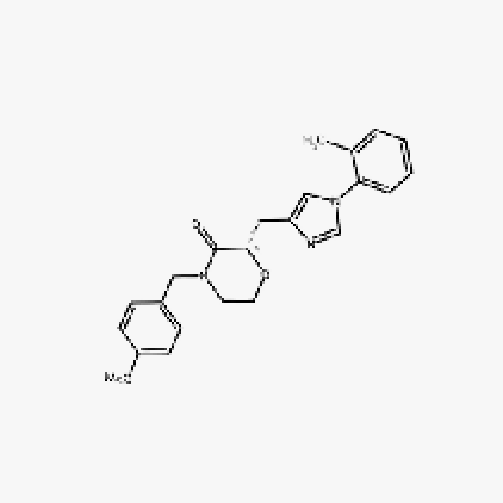 COc1ccc(CN2CCO[C@@H](Cc3cn(-c4ccccc4C)cn3)C2=O)cc1